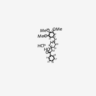 COc1cc(CN2CCC(O)(CC(=O)c3ccccc3)CC2)cc(OC)c1OC.Cl